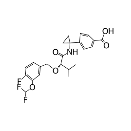 CC(C)[C@@H](OCc1ccc(F)c(OC(F)F)c1)C(=O)NC1(c2ccc(C(=O)O)cc2)CC1